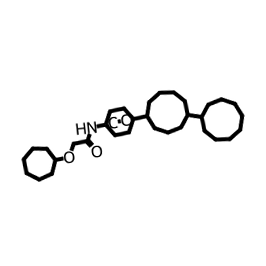 O=C(COC1CCCCCC1)NC12CCC(C3CCCCC(C4CCCCCCCC4)CCC3)(CC1)CC2